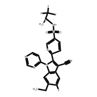 CCc1cc2c(cc1F)c(C#N)c(-c1ccc(S(=O)(=O)N[C@@H](C)C(F)(F)F)cn1)n2-c1ccncn1